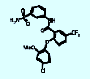 COc1cc(Cl)ccc1Oc1ccc(C(F)(F)F)cc1C(=O)Nc1cccc(S(N)(=O)=O)c1